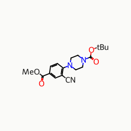 COC(=O)c1ccc(N2CCN(C(=O)OC(C)(C)C)CC2)c(C#N)c1